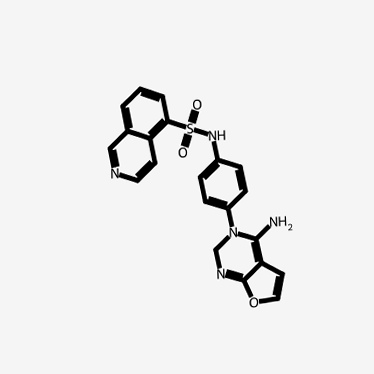 NC1=c2ccoc2=NCN1c1ccc(NS(=O)(=O)c2cccc3cnccc23)cc1